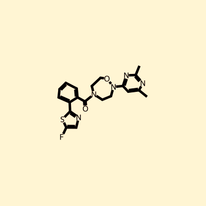 Cc1cc(N2CCN(C(=O)c3ccccc3-c3ncc(F)s3)CCO2)nc(C)n1